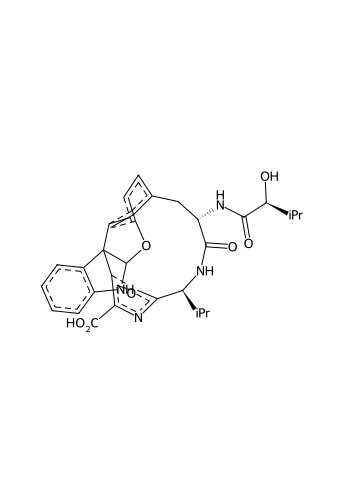 CC(C)[C@H](O)C(=O)N[C@H]1Cc2ccc3c(c2)C2(c4ccccc4NC2O3)c2oc(nc2C(=O)O)[C@H](C(C)C)NC1=O